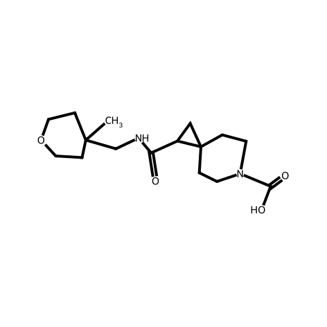 CC1(CNC(=O)C2CC23CCN(C(=O)O)CC3)CCOCC1